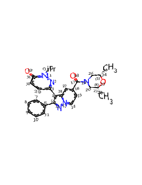 CC(C)n1nc(-c2c(-c3ccccc3)nn3ccc(C(=O)N4C[C@@H](C)O[C@@H](C)C4)cc23)ccc1=O